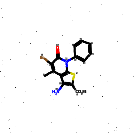 CCOC(=O)c1sc2c(c(C)c(Br)c(=O)n2-c2ccccc2)c1N